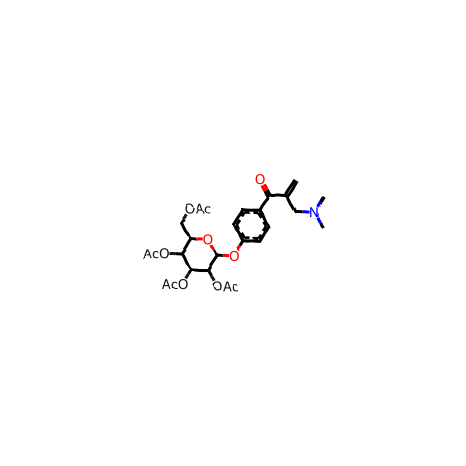 C=C(CN(C)C)C(=O)c1ccc(OC2OC(COC(C)=O)C(OC(C)=O)C(OC(C)=O)C2OC(C)=O)cc1